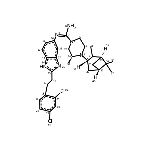 CC1[C@@H](N2CCN(C(N)=Nc3ccc4[nH]c(CCc5ccc(Cl)cc5Cl)nc4c3)C[C@@H]2C)C[C@@H]2C[C@@H]1C2(C)C